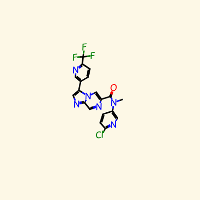 CN(C(=O)c1cn2c(-c3ccc(C(F)(F)F)nc3)cnc2cn1)c1ccc(Cl)nc1